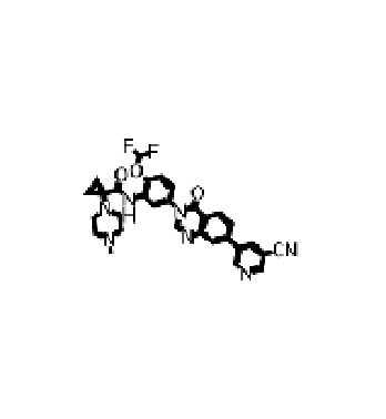 CN1CCN(C2(C(=O)Nc3cc(-n4cnc5cc(-c6cncc(C#N)c6)ccc5c4=O)ccc3OC(F)F)CC2)CC1